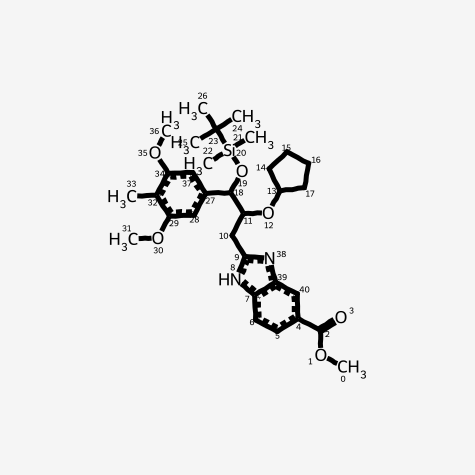 COC(=O)c1ccc2[nH]c(CC(OC3CCCC3)C(O[Si](C)(C)C(C)(C)C)c3cc(OC)c(C)c(OC)c3)nc2c1